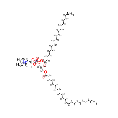 CCCCCCCC/C=C\CCCCCCCCCCCC(=O)OC[C@H](COP(=O)([O-])OCC[N+](C)(C)C)OC(=O)CCCCCCCCCCCCCCCCCCC